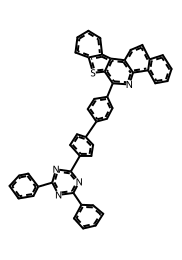 c1ccc(-c2nc(-c3ccccc3)nc(-c3ccc(-c4ccc(-c5nc6c7ccccc7ccc6c6c5sc5ccccc56)cc4)cc3)n2)cc1